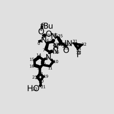 CN(C(=O)OC(C)(C)C)c1cc(N2CCc3c2cccc3C23CC(CO)(C2)C3)nn2c(C(=O)N[C@@H]3C[C@@H]3F)cnc12